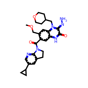 COCc1cc2c(cc1C(=O)N1CCc3cc(C4CC4)cnc31)[nH]c(=O)/c(=N/N)n2CC1CCOCC1